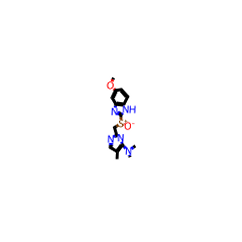 COc1ccc2[nH]c([S+]([O-])Cc3ncc(C)c(N(C)C)n3)nc2c1